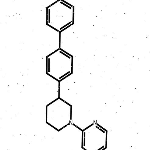 c1ccc(-c2ccc(C3CCCN(c4ccccn4)C3)cc2)cc1